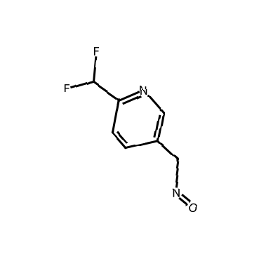 O=NCc1ccc(C(F)F)nc1